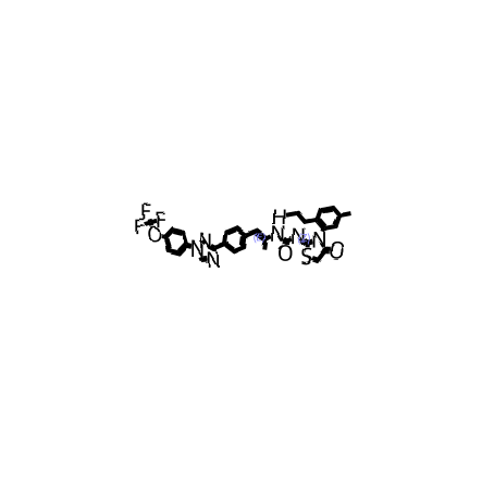 CCCc1ccc(C)cc1N1C(=O)CS/C1=N\C(=O)N/C(C)=C/c1ccc(-c2ncn(-c3ccc(OC(F)(F)F)cc3)n2)cc1